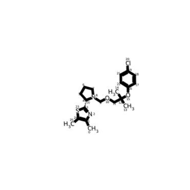 Cc1nc([C@@H]2CCCN2COCC(C)(C)Oc2ccc(Cl)cc2)sc1C